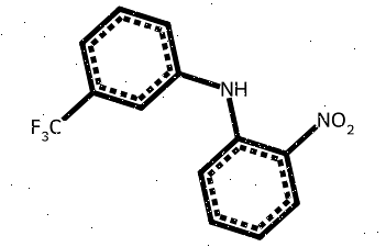 O=[N+]([O-])c1ccccc1Nc1cccc(C(F)(F)F)c1